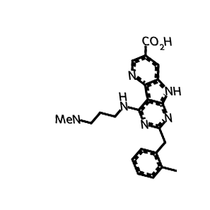 CNCCCNc1nc(Cc2ccccc2C)nc2[nH]c3cc(C(=O)O)cnc3c12